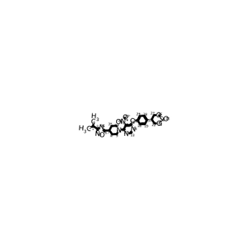 CC(C)c1noc(C2CCN(c3ncnc(Oc4ccc([C@H]5CO[S@](=O)OC5)cc4)c3[N+](=O)[O-])CC2)n1